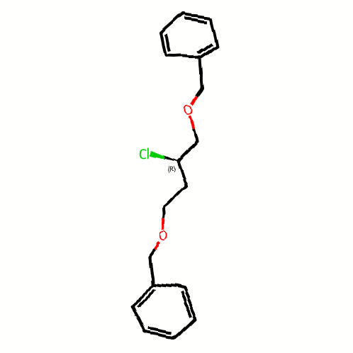 Cl[C@H](CCOCc1ccccc1)COCc1ccccc1